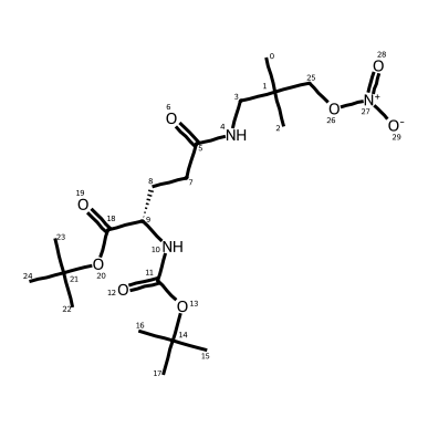 CC(C)(CNC(=O)CC[C@H](NC(=O)OC(C)(C)C)C(=O)OC(C)(C)C)CO[N+](=O)[O-]